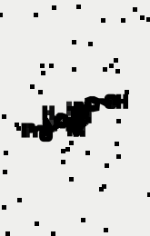 CC(C)CC(=O)NCc1cccc(-n2nnc3cnc(Nc4ccc(CCO)cc4)nc32)c1